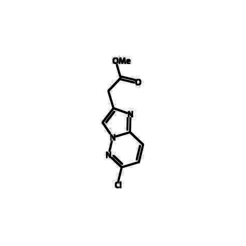 COC(=O)Cc1cn2nc(Cl)ccc2n1